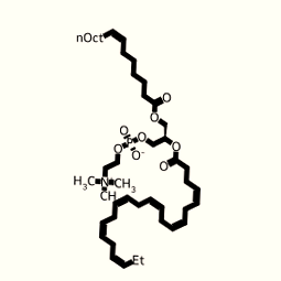 CC/C=C\C/C=C\C/C=C\C/C=C\C/C=C\C/C=C\CCC(=O)O[C@H](COC(=O)CCCCC/C=C\CCCCCCCC)COP(=O)([O-])OCC[N+](C)(C)C